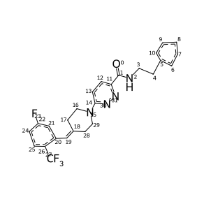 O=C(NCCc1ccccc1)c1ccc(N2CCC(=Cc3cc(F)ccc3C(F)(F)F)CC2)nn1